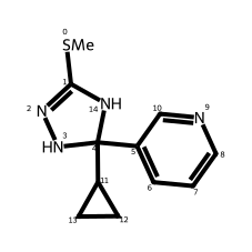 CSC1=NNC(c2cccnc2)(C2CC2)N1